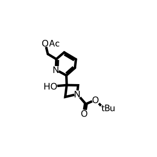 CC(=O)OCc1cccc(C2(O)CN(C(=O)OC(C)(C)C)C2)n1